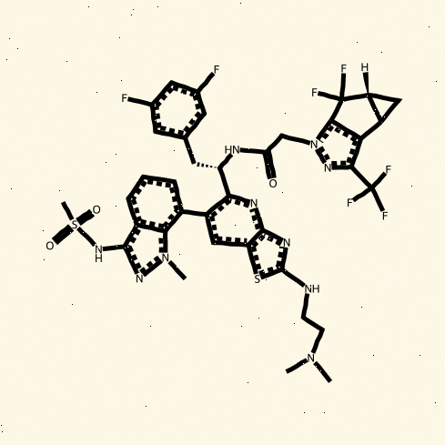 CN(C)CCNc1nc2nc([C@H](Cc3cc(F)cc(F)c3)NC(=O)Cn3nc(C(F)(F)F)c4c3C(F)(F)[C@@H]3CC43)c(-c3cccc4c(NS(C)(=O)=O)nn(C)c34)cc2s1